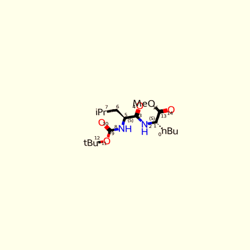 CCCC[C@H](NC(=O)[C@H](CC(C)C)NC(=O)OC(C)(C)C)C(=O)OC